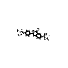 CN(C)c1ccc(-c2cc3ccc(N(C)C)cc3c(=O)[nH]2)cc1